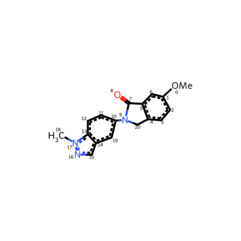 COc1ccc2c(c1)C(=O)N(c1ccc3c(cnn3C)c1)C2